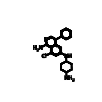 Nc1ncc(-c2ccccc2)c2cc(NC3CCC(N)CC3)cc(Cl)c12